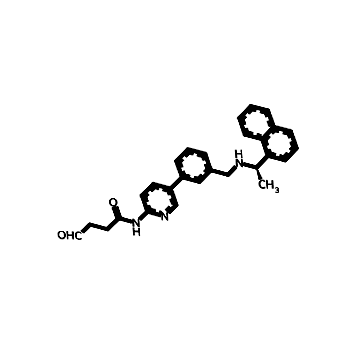 C[C@@H](NCc1cccc(-c2ccc(NC(=O)CCC=O)nc2)c1)c1cccc2ccccc12